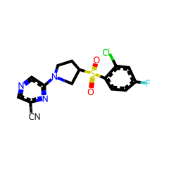 N#Cc1cncc(N2CCC(S(=O)(=O)c3ccc(F)cc3Cl)C2)n1